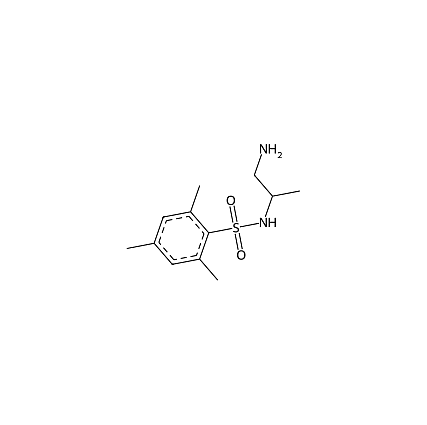 Cc1cc(C)c(S(=O)(=O)NC(C)CN)c(C)c1